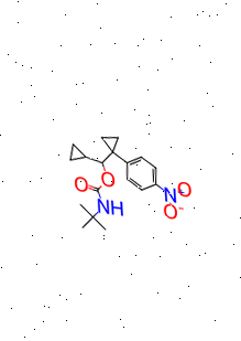 CC(C)(C)NC(=O)OC(C1CC1)C1(c2ccc([N+](=O)[O-])cc2)CC1